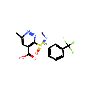 CN=[S@@](=O)(c1cccc(C(F)(F)F)c1)c1nnc(C)cc1C(=O)O